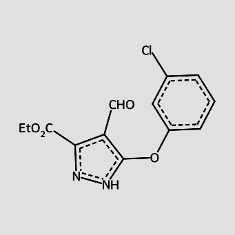 CCOC(=O)c1n[nH]c(Oc2cccc(Cl)c2)c1C=O